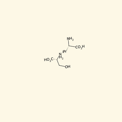 CC(C)[C@H](N)C(=O)O.N[C@H](CO)C(=O)O